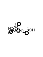 O=C(N[C@@H](c1ccccc1)c1cccc(OCc2cccc(C(=O)O)c2)c1)O[C@H]1CN2CCC1CC2